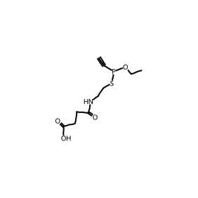 C#CP(OCC)SCCNC(=O)CCC(=O)O